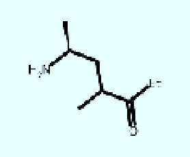 CCC(=O)C(C)C[C@H](C)N